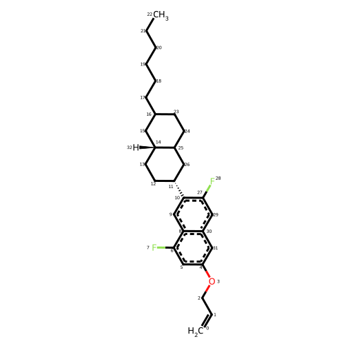 C=CCOc1cc(F)c2cc([C@@H]3CC[C@@H]4CC(CCCCCC)CCC4C3)c(F)cc2c1